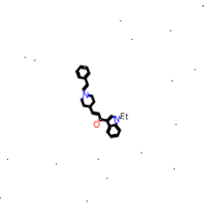 CCn1cc(C(=O)C=CC2CCN(C=Cc3ccccc3)CC2)c2ccccc21